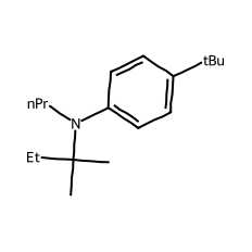 CCCN(c1ccc(C(C)(C)C)cc1)C(C)(C)CC